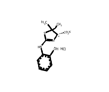 CC1(C)SC(Nc2ccccc2O)=N[C@H]1C(=O)O.Cl